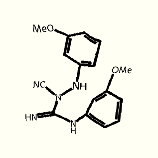 COc1cccc(NC(=N)N(C#N)Nc2cccc(OC)c2)c1